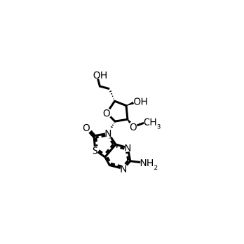 CO[C@@H]1[C@H](O)[C@@H](CCO)O[C@H]1n1c(=O)sc2cnc(N)nc21